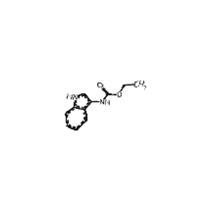 CCOC(=O)Nc1c[nH]c2ccccc12